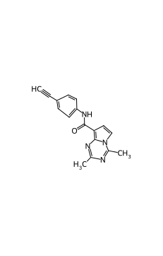 C#Cc1ccc(NC(=O)c2ccn3c(C)nc(C)nc23)cc1